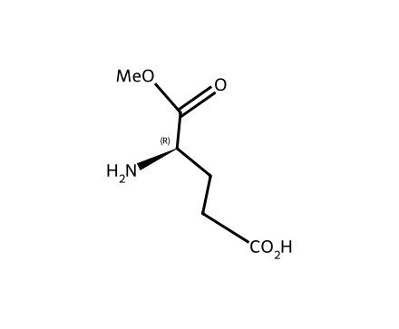 COC(=O)[C@H](N)CCC(=O)O